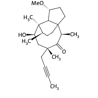 CC#CC[C@]1(C)C[C@@H](O)[C@@]2(C)C3[C@H](OC)CCC3(CC[C@H]2C)[C@@H](C)C1=O